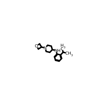 CC(C)c1ccccc1NC1CCN(C2COC2)CC1